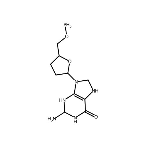 NC1NC(=O)C2=C(N1)N(C1CCC(COP)O1)CN2